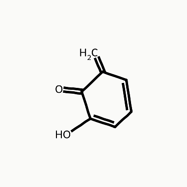 C=C1C=CC=C(O)C1=O